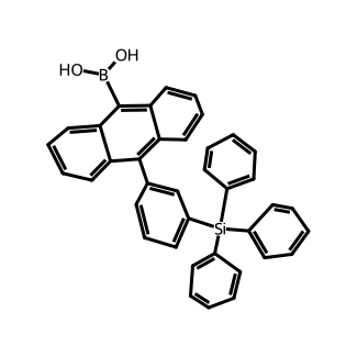 OB(O)c1c2ccccc2c(-c2cccc([Si](c3ccccc3)(c3ccccc3)c3ccccc3)c2)c2ccccc12